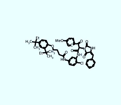 CCC(C)(C)c1ccc(OCCCC(=O)Nc2ccc(Cl)c(NC(=O)C(C(=O)c3ccc(OC)cc3)N3C(=O)NC(=Cc4ccccc4)C3=O)c2)c(C(C)(C)CC)c1